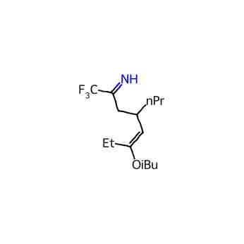 CCCC(/C=C(\CC)OCC(C)C)CC(=N)C(F)(F)F